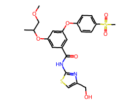 COCC(C)Oc1cc(Oc2ccc(S(C)(=O)=O)cc2)cc(C(=O)Nc2nc(CO)cs2)c1